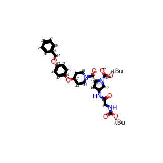 CC(C)(C)OC(=O)NCC(=O)NC1C[C@H](C(=O)N2CCC(Oc3ccc(OCc4ccccc4)cc3)CC2)N(C(=O)OC(C)(C)C)C1